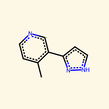 Cc1ccn[c]c1-c1cc[nH]n1